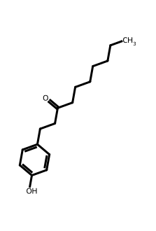 CCCCCCCC(=O)CCc1ccc(O)cc1